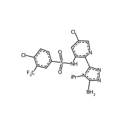 Bc1nnc(-c2ncc(Cl)cc2NS(=O)(=O)c2ccc(Cl)c(C(F)(F)F)c2)n1C(C)C